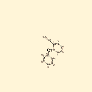 C#Cc1cc[c]cc1Oc1ccccc1